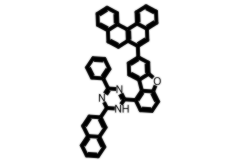 c1ccc(C2=NC(c3ccc4ccccc4c3)NC(c3cccc4oc5cc(-c6cc7ccccc7c7c6ccc6ccccc67)ccc5c34)=N2)cc1